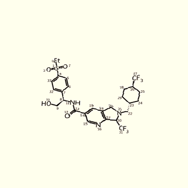 CCS(=O)(=O)c1ccc([C@H](CO)NC(=O)c2cnc3c(c2)CN(C[C@H]2CC[C@H](C(F)(F)F)CC2)C3C(F)(F)F)cc1